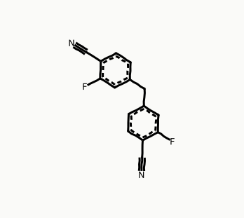 N#Cc1ccc(Cc2ccc(C#N)c(F)c2)cc1F